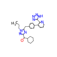 CCCn1nc(C(=O)C2CCCCC2)nc1Cc1ccc(-c2cccnc2-c2nnn[nH]2)cc1